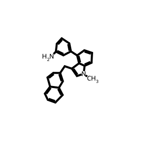 Cn1cc(Cc2ccc3ccccc3c2)c2c(-c3cccc(N)c3)cccc21